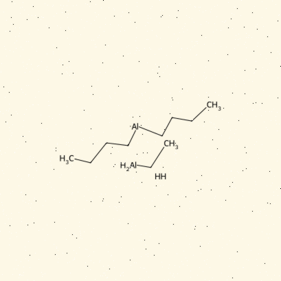 CCC[CH2][Al][CH2]CCC.C[CH2][AlH2].[HH]